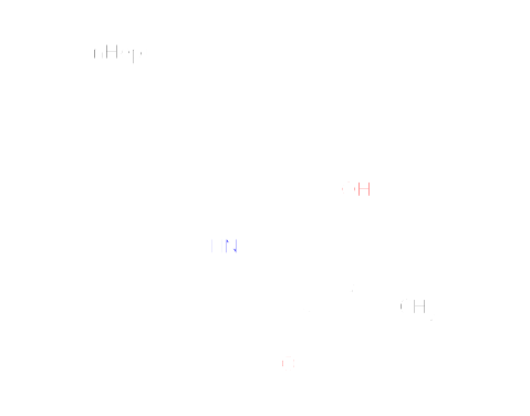 C=C1C(=O)C(NCCCCCCCCCCC)=C1O